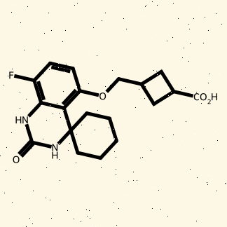 O=C1Nc2c(F)ccc(OCC3CC(C(=O)O)C3)c2C2(CCCCC2)N1